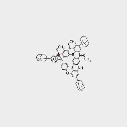 CSN1c2cc3c(cc2B2c4ccccc4Oc4cc(C56CC7CC(CC(C7)C5)C6)cc1c42)B1c2cc4c(cc2N(SC)c2cc(C56CC7CC(CC(C7)C5)C6)cc(c21)N3SC)Nc1cc(C23CC5CC(CC(C5)C2)C3)cc2c1B4c1ccccc1O2